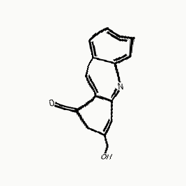 O=C1CC(O)=Cc2nc3ccccc3cc21